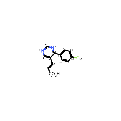 O=C(O)C=Cc1cncnc1-c1ccc(F)cc1